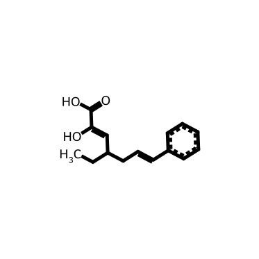 CCC(/C=C(\O)C(=O)O)C/C=C/c1ccccc1